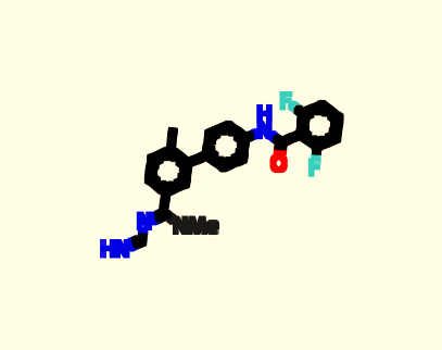 CN/C(=N\C=N)c1ccc(C)c(-c2ccc(NC(=O)c3c(F)cccc3F)cc2)c1